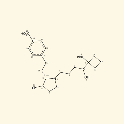 CCCCC1(C(O)CCCN2CCC(Cl)[C@@H]2CCc2ccc(C(=O)O)cc2)CCC1